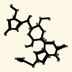 CC[C@H]1CN(C(C)c2nc(C)cn2CC)[C@H](CC)CN1c1cc(=O)n(C)c2cn(CC#N)nc12